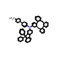 Cc1ccc(-c2ccc(N(c3ccc4c(c3)Cc3ccccc3-c3ccccc3Cc3ccccc3-4)c3ccc4c(c3)C(c3ccccc3)(c3ccccc3)c3ccccc3-4)cc2)cc1